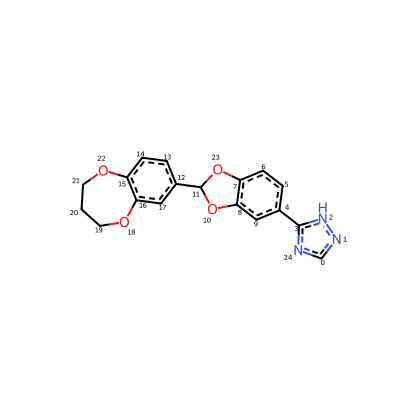 c1n[nH]c(-c2ccc3c(c2)OC(c2ccc4c(c2)OCCCO4)O3)n1